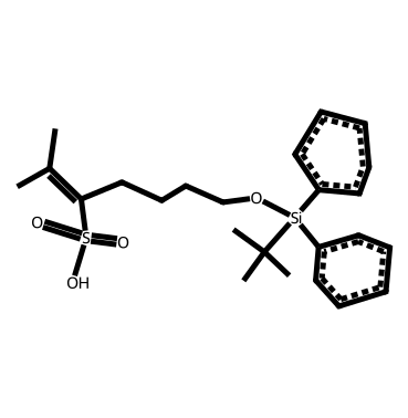 CC(C)=C(CCCCO[Si](c1ccccc1)(c1ccccc1)C(C)(C)C)S(=O)(=O)O